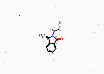 C=C1c2ccccc2C(=O)N1CCCl